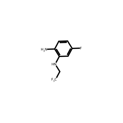 Nc1ccc(F)cc1NCC(F)(F)F